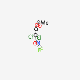 COC(=O)Oc1ccc(-c2cc(Cl)c(C[C@@H]3CCN(C4CCC(F)(F)CC4)C3=O)c(Cl)c2)cc1